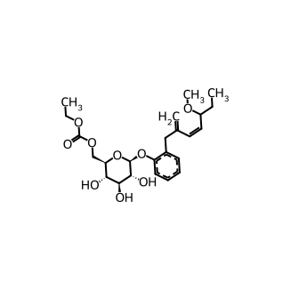 C=C(/C=C\C(CC)OC)Cc1ccccc1O[C@@H]1O[C@H](COC(=O)OCC)[C@@H](O)[C@H](O)[C@H]1O